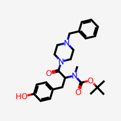 CN(C(=O)OC(C)(C)C)C(Cc1ccc(O)cc1)C(=O)N1CCN(Cc2ccccc2)CC1